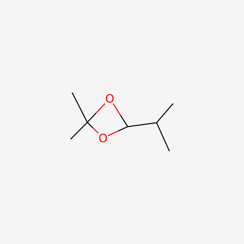 CC(C)C1OC(C)(C)O1